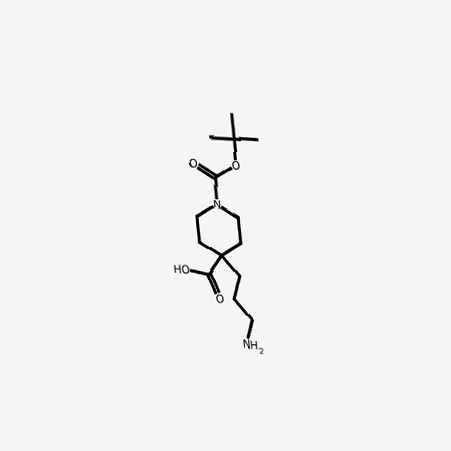 CC(C)(C)OC(=O)N1CCC(CCCN)(C(=O)O)CC1